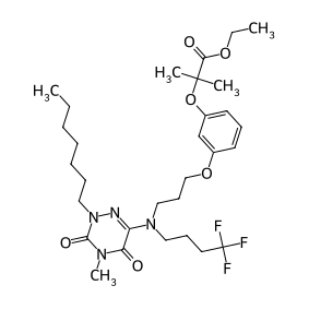 CCCCCCCn1nc(N(CCCOc2cccc(OC(C)(C)C(=O)OCC)c2)CCCC(F)(F)F)c(=O)n(C)c1=O